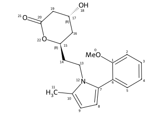 COc1ccccc1-c1ccc(C)n1CC[C@@H]1C[C@@H](O)CC(=O)O1